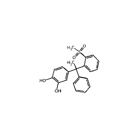 [CH2]C(c1ccccc1)(c1ccc(O)c(O)c1)c1ccccc1S(C)(=O)=O